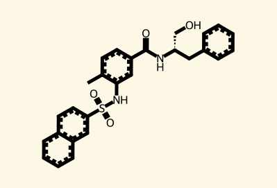 Cc1ccc(C(=O)N[C@H](CO)Cc2ccccc2)cc1NS(=O)(=O)c1ccc2ccccc2c1